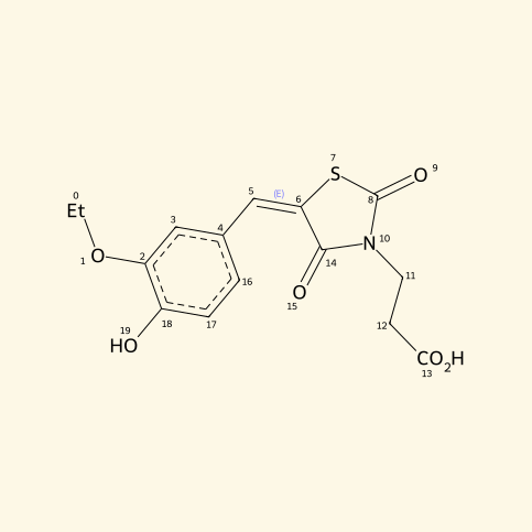 CCOc1cc(/C=C2/SC(=O)N(CCC(=O)O)C2=O)ccc1O